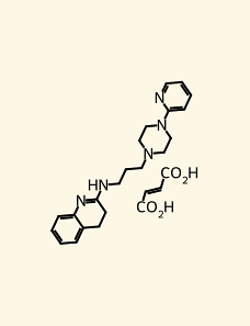 O=C(O)C=CC(=O)O.c1ccc(N2CCN(CCCNC3=Nc4ccccc4CC3)CC2)nc1